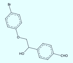 O=Cc1ccc(C(O)COc2ccc(Br)cc2)cc1